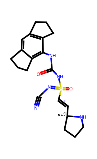 C[C@@]1(/C=C/S(=O)(=NC#N)NC(=O)Nc2c3c(cc4c2CCC4)CCC3)CCCN1